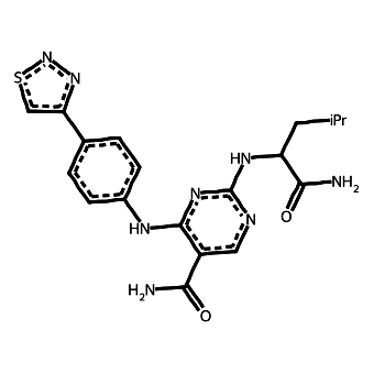 CC(C)CC(Nc1ncc(C(N)=O)c(Nc2ccc(-c3csnn3)cc2)n1)C(N)=O